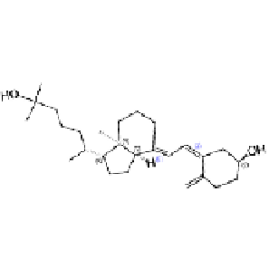 C=C1CC[C@H](O)C/C1=C/C=C1\CCC[C@@]2(C)[C@@H]1CC[C@@H]2C(C)CCCC(C)(C)O